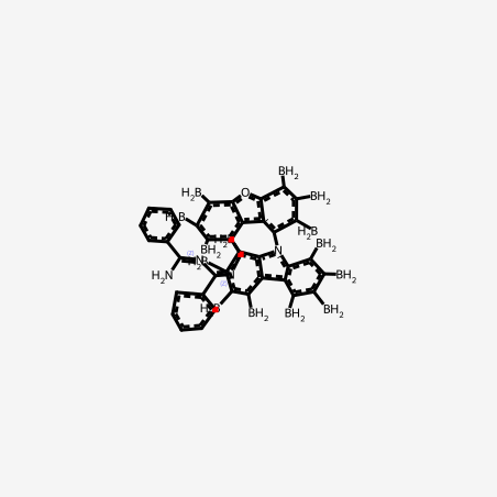 Bc1c(B)c(C/N=C(\N=C(/N)c2ccccc2)c2ccccc2)c2c(oc3c(B)c(B)c(B)c(-n4c5c(B)c(B)c(B)c(B)c5c5c(B)c(B)c(B)c(B)c54)c32)c1B